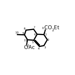 CCOC(=O)C1CCC=C2C1CCC(C)C2OC(C)=O